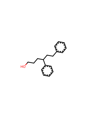 OCCCC(CCc1ccccc1)c1ccccc1